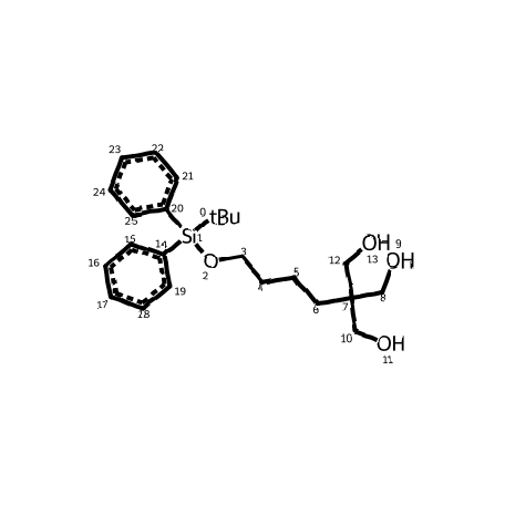 CC(C)(C)[Si](OCCCCC(CO)(CO)CO)(c1ccccc1)c1ccccc1